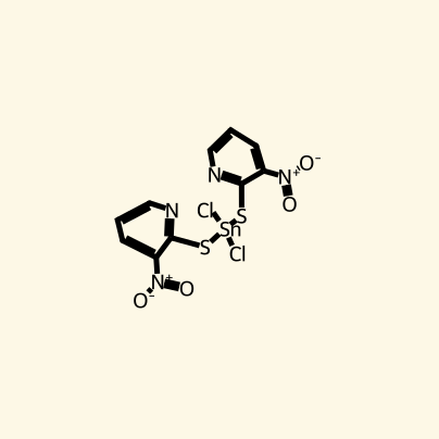 O=[N+]([O-])c1cccnc1[S][Sn]([Cl])([Cl])[S]c1ncccc1[N+](=O)[O-]